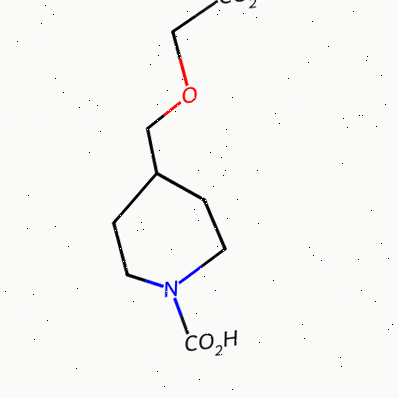 CCOC(=O)COCC1CCN(C(=O)O)CC1